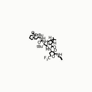 C=CCNC(=O)C(=O)C(CCC(F)(F)F)NC(=O)[C@@H]1[C@@H]2[C@H](CN1C(=O)[C@@H](NC(=O)N[C@H](CN1CCCS1(=O)=O)C(C)(C)C)C(C)(C)C)C2(C)C